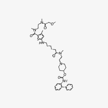 COCC(=O)N(C)CCN(C)C(=O)c1sc(NCCCCCC(=O)N(C)CCN2CCC(OC(=O)Nc3ccccc3-c3ccccc3)CC2)cc1C